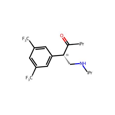 CC(C)NC[C@@H](C(=O)C(C)C)c1cc(C(F)(F)F)cc(C(F)(F)F)c1